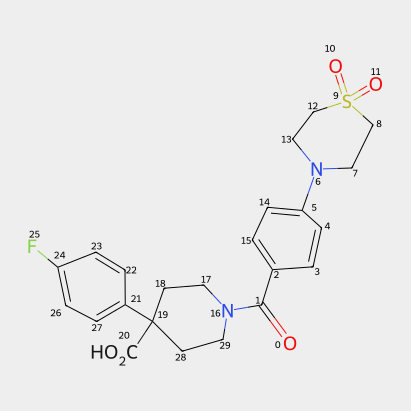 O=C(c1ccc(N2CCS(=O)(=O)CC2)cc1)N1CCC(C(=O)O)(c2ccc(F)cc2)CC1